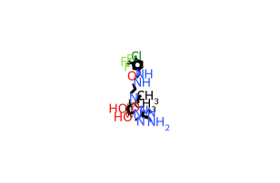 CC(C)N(CCCNC(=O)Nc1ccc(Cl)c(C(F)(F)F)c1)C[C@H]1OC(n2cnc3c(N)ncnc32)[C@H](O)[C@@H]1O